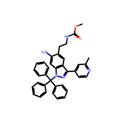 COC(=O)NCCc1cc2c(-c3ccnc(C)c3)nn(C(c3ccccc3)(c3ccccc3)c3ccccc3)c2cc1N